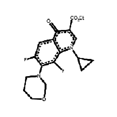 CCOC(=O)c1cn(C2CC2)c2c(F)c(N3CCCOC3)c(F)cc2c1=O